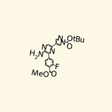 COC(=O)c1ccc(-c2nc(-c3cnn(C(=O)OC(C)(C)C)c3)cnc2N)cc1F